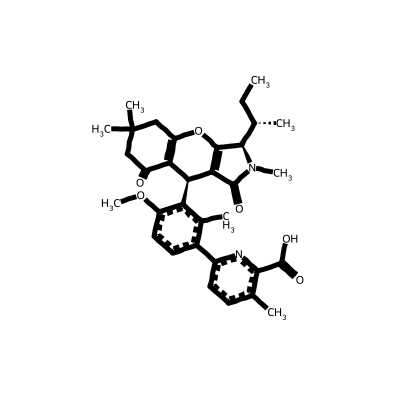 CC[C@H](C)[C@@H]1C2=C(C(=O)N1C)[C@@H](c1c(OC)ccc(-c3ccc(C)c(C(=O)O)n3)c1C)C1=C(CC(C)(C)CC1=O)O2